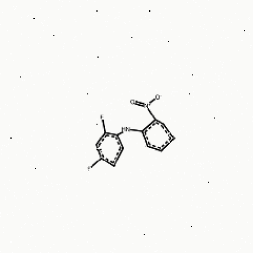 O=[N+]([O-])c1ccc[c]c1Nc1ccc(F)cc1F